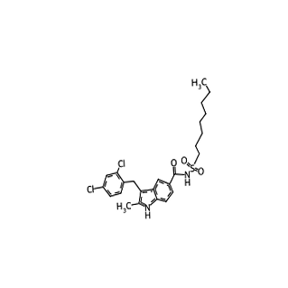 CCCCCCCCS(=O)(=O)NC(=O)c1ccc2[nH]c(C)c(Cc3ccc(Cl)cc3Cl)c2c1